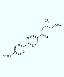 CCCCCCCc1ccc(-c2ncc(C(=O)OC(COC)C(F)(F)F)cn2)cc1